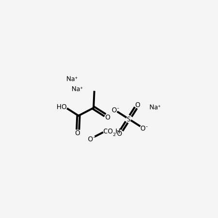 CC(=O)C(=O)O.O=C([O-])O.O=S(=O)([O-])[O-].[Na+].[Na+].[Na+]